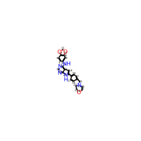 c1nc(Nc2ccc3c(c2)OCO3)c2cc(-c3ccc(CN4CCOCC4)cc3)[nH]c2n1